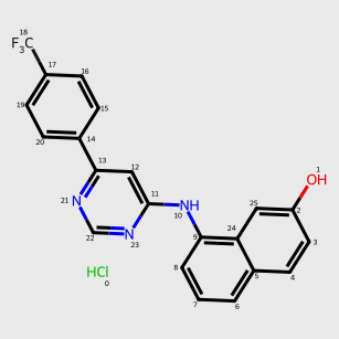 Cl.Oc1ccc2cccc(Nc3cc(-c4ccc(C(F)(F)F)cc4)ncn3)c2c1